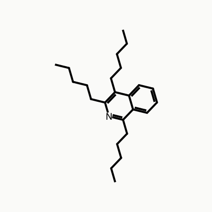 CCCCCc1nc(CCCCC)c2ccccc2c1CCCCC